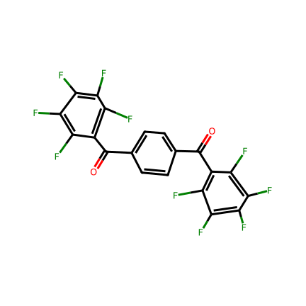 O=C(c1ccc(C(=O)c2c(F)c(F)c(F)c(F)c2F)cc1)c1c(F)c(F)c(F)c(F)c1F